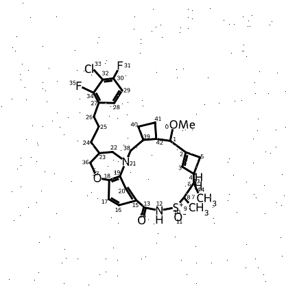 COC1C2=C[C@@H](C2)[C@H](C)C(C)[S+]([O-])NC(=O)c2ccc3c(c2)N(CC(CCCc2ccc(F)c(Cl)c2F)CO3)CC2CCC21